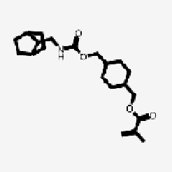 C=C(C)C(=O)OCC1CCC(COC(=O)NCC2C3CCC2CC3)CC1